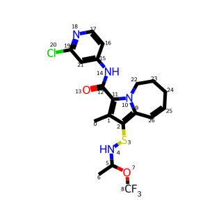 Cc1c(SNC(C)OC(F)(F)F)c2n(c1C(=O)Nc1ccnc(Cl)c1)CCCC=C2